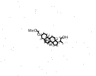 COCO[C@H]1CC[C@@]2(C)C(=CC=C3[C@@H]4CC[C@H](C(C)CO)[C@@]4(C)CC[C@@H]32)C1